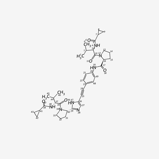 CC(C)[C@@H](NC(=O)C1CC1)C(=O)N1CCC[C@H]1C(=O)Nc1ccc(C#Cc2cnc([C@@H]3CCCN3C(=O)[C@H](NC(=O)C3CC3)C(C)C)[nH]2)cc1